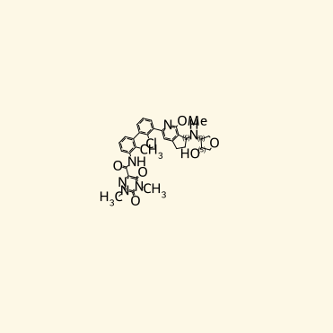 COc1nc(-c2cccc(-c3cccc(NC(=O)c4nn(C)c(=O)n(C)c4=O)c3C)c2Cl)cc2c1[C@@H](N[C@@H]1COC[C@H]1O)CC2